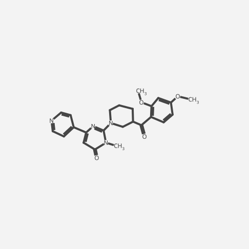 COc1ccc(C(=O)C2CCCN(c3nc(-c4ccncc4)cc(=O)n3C)C2)c(OC)c1